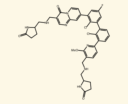 COc1nc(-c2cccc(-c3cc(F)cc(-c4ccn5c(=O)c(CNCC6CCC(=O)N6)cnc5c4)c3Cl)c2Cl)ccc1CNCC1CCC(=O)N1